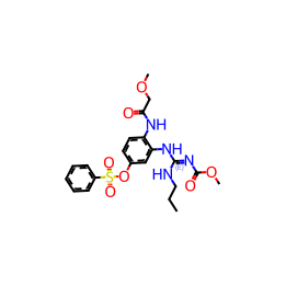 CCCN/C(=N\C(=O)OC)Nc1cc(OS(=O)(=O)c2ccccc2)ccc1NC(=O)COC